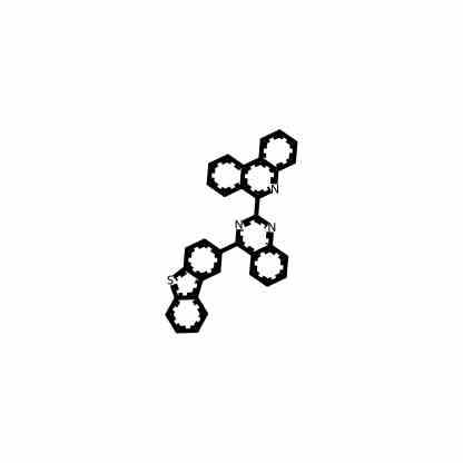 c1ccc2c(-c3ccc4sc5ccccc5c4c3)nc(-c3nc4ccccc4c4ccccc34)nc2c1